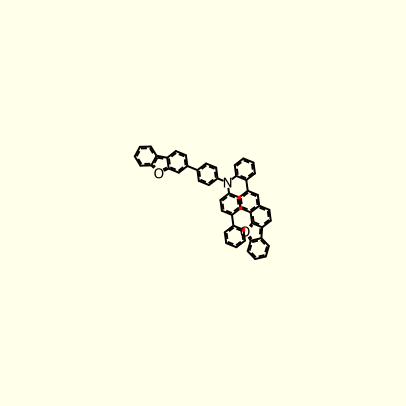 c1ccc(-c2ccc(N(c3ccc(-c4ccc5c(c4)oc4ccccc45)cc3)c3ccccc3-c3ccc4c(ccc5c6ccccc6oc45)c3)cc2)cc1